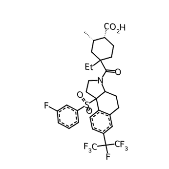 CCC1(C(=O)N2CCC3(S(=O)(=O)c4cccc(F)c4)c4ccc(C(F)(C(F)(F)F)C(F)(F)F)cc4CCC23)CC[C@@H](C(=O)O)[C@@H](C)C1